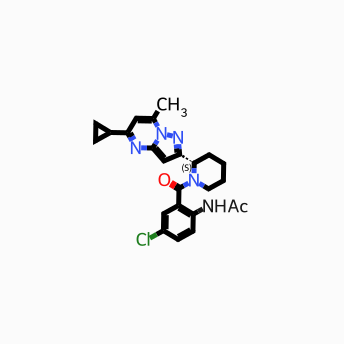 CC(=O)Nc1ccc(Cl)cc1C(=O)N1CCCC[C@H]1c1cc2nc(C3CC3)cc(C)n2n1